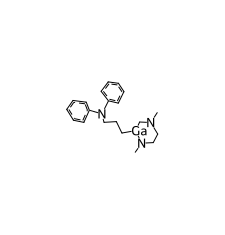 CN1CC[N](C)[Ga]([CH2]CCN(c2ccccc2)c2ccccc2)[CH2]1